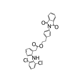 O=C(Cc1ccccc1Nc1c(Cl)cccc1Cl)OCCc1ccc(N2C(=O)c3ccccc3C2=O)cc1